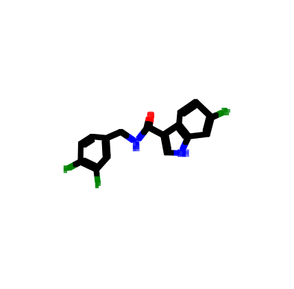 O=C(NCc1ccc(F)c(F)c1)c1c[nH]c2cc(Br)ccc12